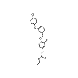 CCOC(=O)CCc1ccc(OCc2cccc(Oc3ccc(Cl)cc3)c2)c(F)c1